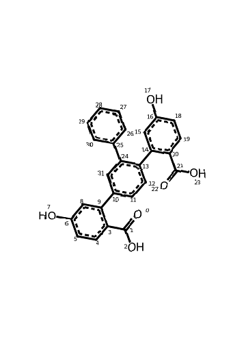 O=C(O)c1ccc(O)cc1-c1ccc(-c2cc(O)ccc2C(=O)O)c(-c2ccccc2)c1